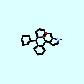 c1ccc(C(c2ccccc2)c2ccccc2-c2cccc3[nH]ccc23)cc1